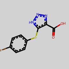 O=C(O)c1nn[nH]c1Sc1ccc(Br)cc1